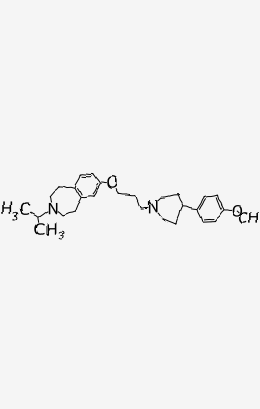 COc1ccc(C2CCN(CCCOc3ccc4c(c3)CCN(C(C)C)CC4)CC2)cc1